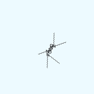 CCCCCCCCCCCCN(CCCCCCCCCCCC)CCN(CCCCCCCCC)CC(=O)N1CCN(C(=O)CN(CCCCCCCCCCCC)CCCCCCCCCCCC)CC1